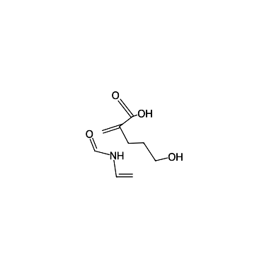 C=C(CCCO)C(=O)O.C=CNC=O